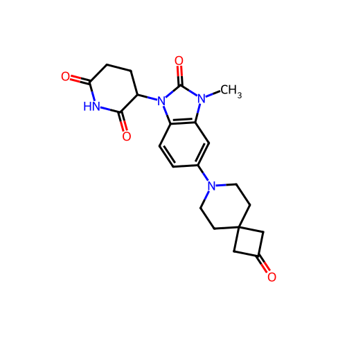 Cn1c(=O)n(C2CCC(=O)NC2=O)c2ccc(N3CCC4(CC3)CC(=O)C4)cc21